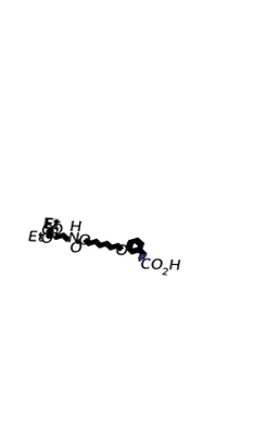 CCO[Si](CCCNC(=O)OCCCCCCOc1cccc(/C=C/C(=O)O)c1)(OCC)OCC